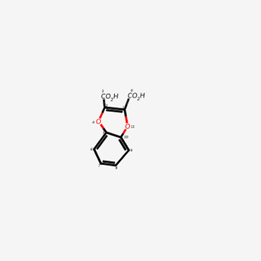 O=C(O)C1=C(C(=O)O)Oc2ccccc2O1